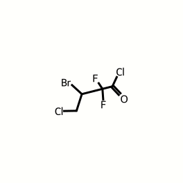 O=C(Cl)C(F)(F)C(Br)CCl